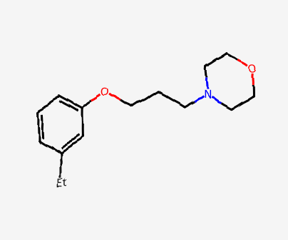 CCc1cccc(OCCCN2CCOCC2)c1